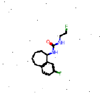 O=C(NCCF)NC1CCCCc2ccc(F)cc21